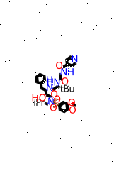 CC(C)CN(CC(O)C(Cc1ccccc1)NC(=O)C(NC(=O)CNC(=O)c1ccncc1)C(C)(C)C)S(=O)(=O)c1ccc2c(c1)OCO2